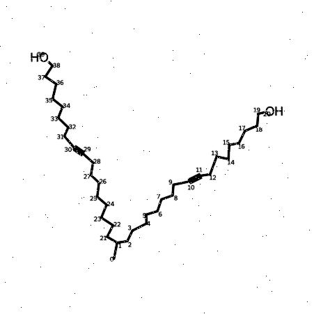 CC(CCCCCCCCC#CCCCCCCCCO)CCCCCCCCC#CCCCCCCCCO